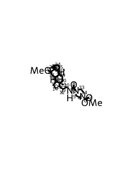 COC(=O)N1CCN(C(=O)NC[C@@H](C)[C@H]2CC[C@H]3[C@@H]4CC(OC)C56CC5CC[C@]6(C)[C@H]4CC[C@]23C)CC1